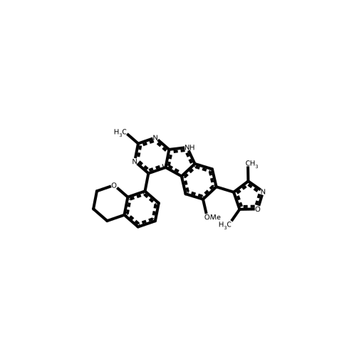 COc1cc2c(cc1-c1c(C)noc1C)[nH]c1nc(C)nc(-c3cccc4c3OCCC4)c12